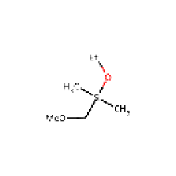 CCO[Si](C)(C)COC